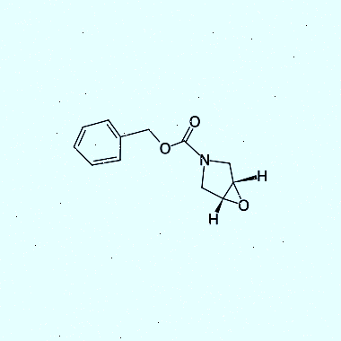 O=C(OCc1ccccc1)N1C[C@@H]2O[C@@H]2C1